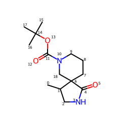 CC1CNC(=O)C12CCCN(C(=O)OC(C)(C)C)C2